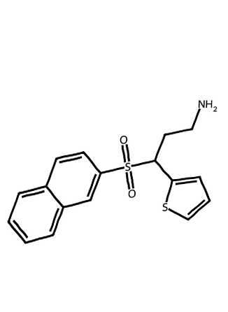 NCCC(c1cccs1)S(=O)(=O)c1ccc2ccccc2c1